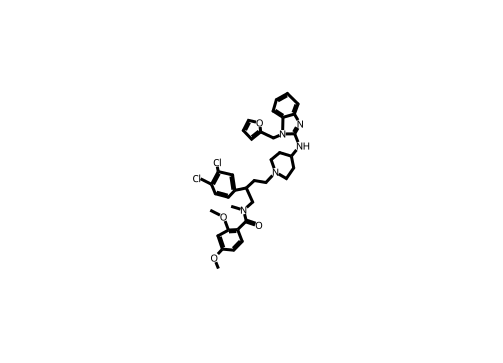 COc1ccc(C(=O)N(C)CC(CCN2CCC(Nc3nc4ccccc4n3Cc3ccco3)CC2)c2ccc(Cl)c(Cl)c2)c(OC)c1